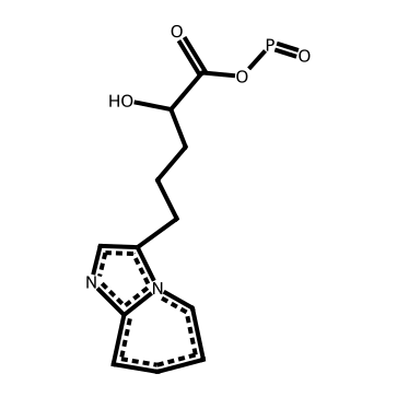 O=POC(=O)C(O)CCCc1cnc2ccccn12